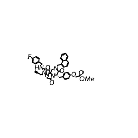 C#CCN(C(=O)NCc1ccc(F)cc1)N1CC(=O)N2[C@@H](Cc3ccc(OCC(=O)OC)cc3)C(=O)N(Cc3cccc4ccccc34)C[C@@H]21